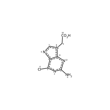 Nc1nc(Cl)c2ncn(CC(=O)O)c2n1